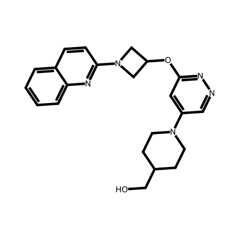 OCC1CCN(c2cnnc(OC3CN(c4ccc5ccccc5n4)C3)c2)CC1